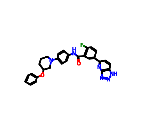 O=C(Nc1ccc(N2CCCC(Oc3ccccc3)C2)cc1)c1cc(-c2ccc3[nH]nnc3n2)ccc1F